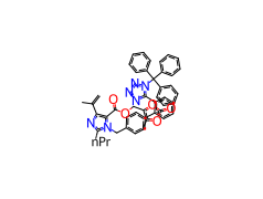 C=C(C)c1nc(CCC)n(Cc2ccc(-c3ccccc3-c3nnnn3C(c3ccccc3)(c3ccccc3)c3ccccc3)cc2)c1C(=O)OCc1oc(=O)oc1C